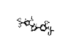 COC(=O)c1cc(-c2nc(-c3ccc(OC(C)=O)c(OC)c3)cs2)c(SC)s1